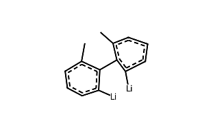 [Li][c]1cccc(C)c1-c1[c]([Li])cccc1C